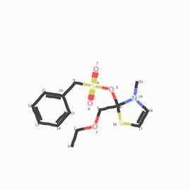 CCOCC1(OS(=O)(=O)Cc2ccccc2)SC=CN1C